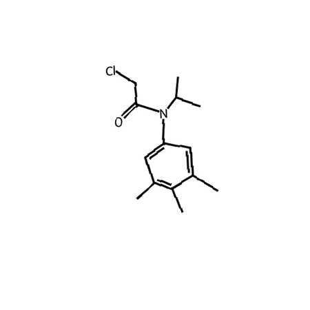 Cc1cc(N(C(=O)CCl)C(C)C)cc(C)c1C